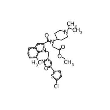 CCOC(=O)CN(C(=O)c1cc2cccc(C)c2n1Cc1cc(-c2ccc(Cl)s2)on1)C1CCN(C(C)C)CC1